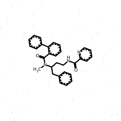 CN(C(=O)c1ccccc1-c1ccccc1)C(CCNC(=O)c1ccccn1)Cc1ccccc1